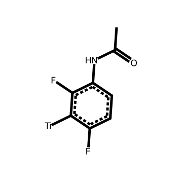 CC(=O)Nc1ccc(F)[c]([Ti])c1F